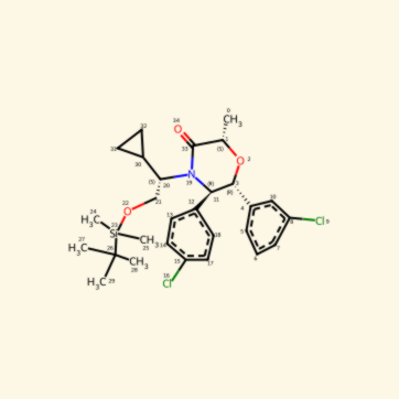 C[C@@H]1O[C@H](c2cccc(Cl)c2)[C@@H](c2ccc(Cl)cc2)N([C@H](CO[Si](C)(C)C(C)(C)C)C2CC2)C1=O